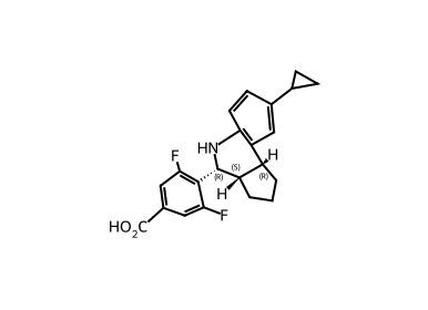 O=C(O)c1cc(F)c([C@@H]2Nc3ccc(C4CC4)cc3[C@@H]3CCC[C@@H]32)c(F)c1